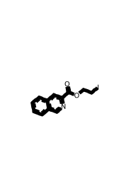 O=C(OCCI)c1cc2ccccc2cn1